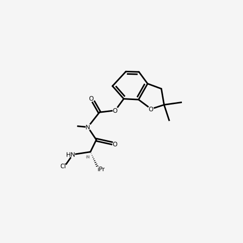 CC(C)[C@H](NCl)C(=O)N(C)C(=O)Oc1cccc2c1OC(C)(C)C2